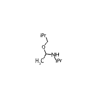 CC(C)COC(C)NC(C)C